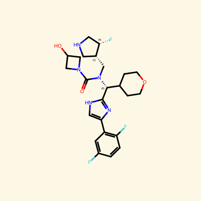 O=C(N1CC(O)C1)N(C[C@@H]1CNC[C@@H]1F)[C@@H](c1nc(-c2cc(F)ccc2F)c[nH]1)C1CCOCC1